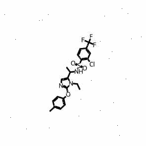 CCn1c(C(C)NS(=O)(=O)c2ccc(C(F)(F)F)cc2Cl)cnc1Oc1ccc(C)cc1